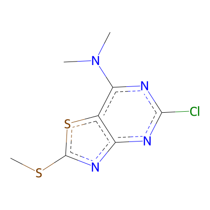 CSc1nc2nc(Cl)nc(N(C)C)c2s1